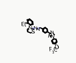 CCc1ccccc1N1CCCS/C1=N\N=C\c1ccc(-c2ncn(-c3ccc(OC(F)(F)F)cc3)n2)cc1